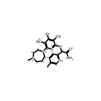 CCc1c(C#N)c(SC(C(N)=O)c2ccc(C)cn2)nc(N2CCCN(C)CC2)c1C#N